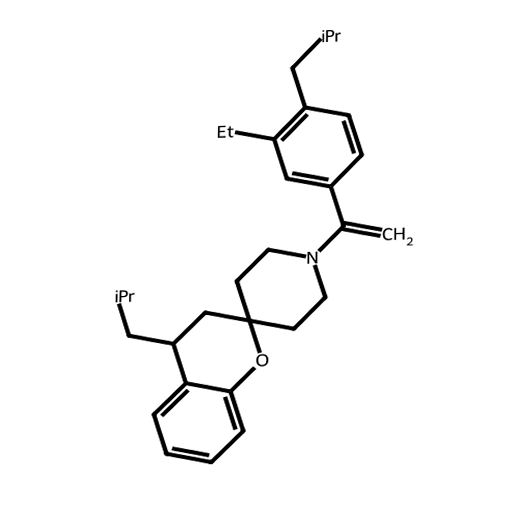 C=C(c1ccc(CC(C)C)c(CC)c1)N1CCC2(CC1)CC(CC(C)C)c1ccccc1O2